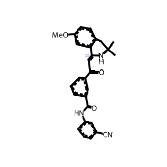 COc1ccc2c(c1)/C(=C/C(=O)c1cccc(C(=O)Nc3cccc(C#N)c3)c1)NC(C)(C)C2